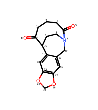 O=C1CCCC(=O)N2CCC1c1cc3c(cc1C2)OCO3